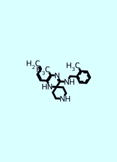 C=C/C=C\C1=C(C)N=C(NCc2ccccc2C)C2(CCNCC2)N1